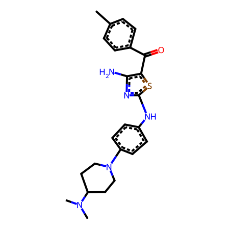 Cc1ccc(C(=O)c2sc(Nc3ccc(N4CCC(N(C)C)CC4)cc3)nc2N)cc1